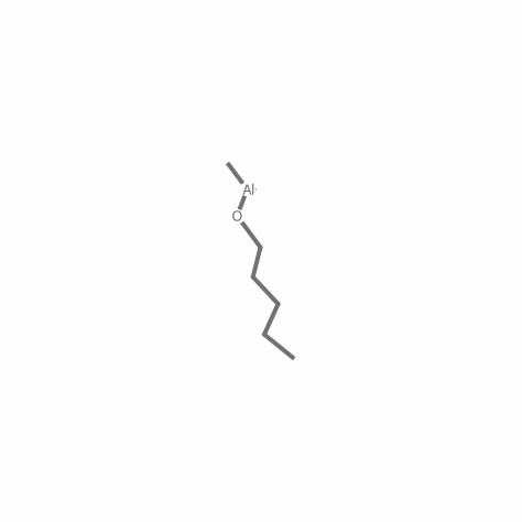 CCCCC[O][Al][CH3]